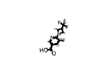 O=C(O)c1cnc(N2CC(C(F)(F)F)C2)c(F)c1